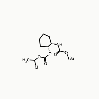 CC(Cl)OC(=O)O[C@@H]1CCCC[C@H]1NC(=O)OC(C)(C)C